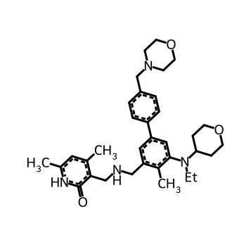 CCN(c1cc(-c2ccc(CN3CCOCC3)cc2)cc(CNCc2c(C)cc(C)[nH]c2=O)c1C)C1CCOCC1